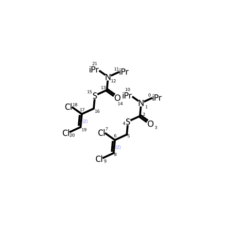 CC(C)N(C(=O)SC/C(Cl)=C/Cl)C(C)C.CC(C)N(C(=O)SC/C(Cl)=C/Cl)C(C)C